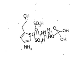 N.N.N.N.O=P(O)(O)O.O=S(=O)(O)OOS(=O)(=O)O.OCCc1cccs1